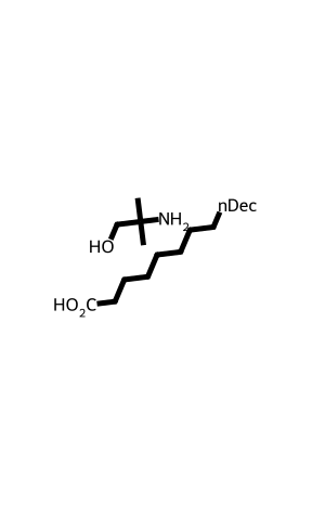 CC(C)(N)CO.CCCCCCCCCCCCCCCCCC(=O)O